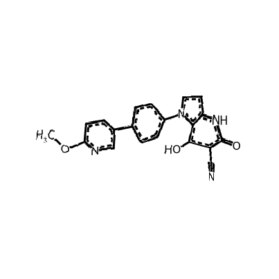 COc1ccc(-c2ccc(-n3ccc4[nH]c(=O)c(C#N)c(O)c43)cc2)cn1